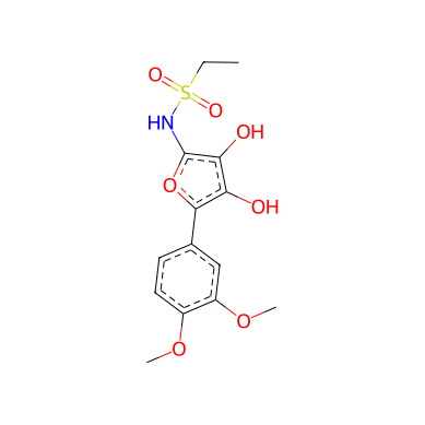 CCS(=O)(=O)Nc1oc(-c2ccc(OC)c(OC)c2)c(O)c1O